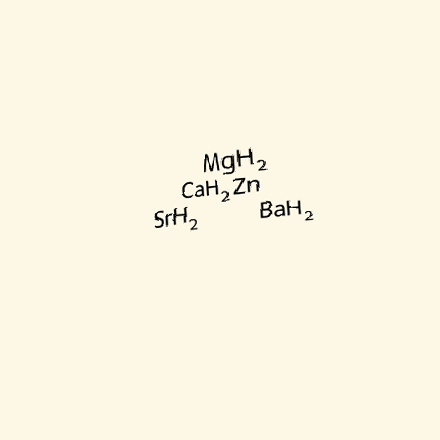 [BaH2].[CaH2].[MgH2].[SrH2].[Zn]